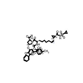 Cc1ccc(-c2cc(O[C@@H]3C[C@@H](C(N)=O)N(C(=O)[C@H](CCCCC/C=C\[C@@H]4C[C@@H]4C(=O)NS(=O)(=O)C4CC4)NC(=O)OC(C)(C)C)C3)c3oc4ccccc4c3n2)cc1